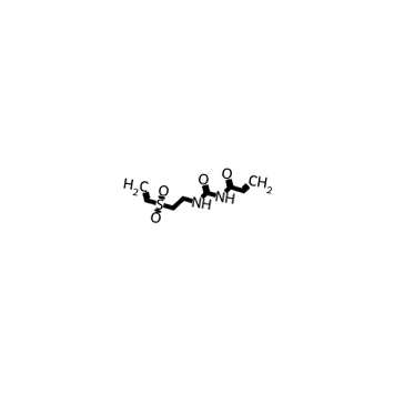 C=CC(=O)NC(=O)NCCS(=O)(=O)C=C